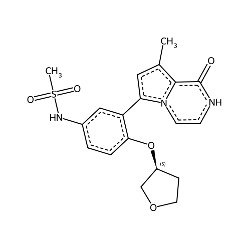 Cc1cc(-c2cc(NS(C)(=O)=O)ccc2O[C@H]2CCOC2)n2cc[nH]c(=O)c12